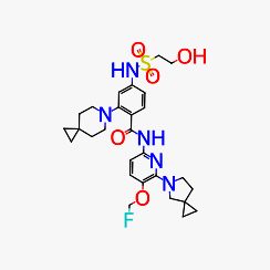 O=C(Nc1ccc(OCF)c(N2CCC3(CC3)C2)n1)c1ccc(NS(=O)(=O)CCO)cc1N1CCC2(CC1)CC2